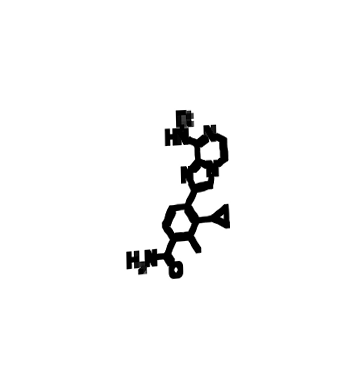 CCNc1nccn2cc(-c3ccc(C(N)=O)c(C)c3C3CC3)nc12